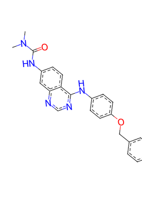 CN(C)C(=O)Nc1ccc2c(Nc3ccc(OCc4ccccc4)cc3)ncnc2c1